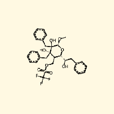 CO[C@H]1O[C@H](C(O)Cc2ccccc2)[C@@H](COS(=O)(=O)C(F)(F)F)[C@@](O)(Cc2ccccc2)[C@]1(O)Cc1ccccc1